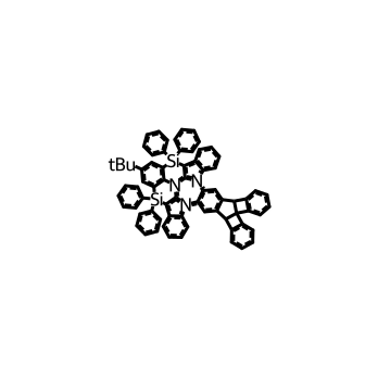 CC(C)(C)c1cc2c3c(c1)[Si](c1ccccc1)(c1ccccc1)c1c4ccccc4n4c5cc6c(cc5n5c7ccccc7c(c5n-3c14)[Si]2(c1ccccc1)c1ccccc1)C1c2ccccc2C12c1ccccc1C62